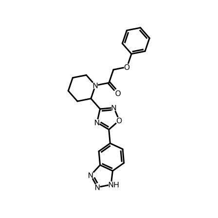 O=C(COc1ccccc1)N1CCCCC1c1noc(-c2ccc3[nH]nnc3c2)n1